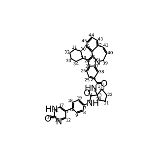 O=C(NC1(C(=O)Nc2ccc(-c3cnc(=O)[nH]c3)cc2)CCCC1)c1ccc2c(C3CCCCC3)c3n(c2c1)CC=Cc1ccccc1-3